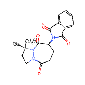 CC(C)(C)[C@]1(C(=O)O)CCN2C(=O)CC[C@H](N3C(=O)c4ccccc4C3=O)C(=O)N21